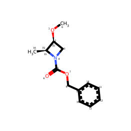 CO[C@H]1CN(C(=O)OCc2ccccc2)[C@H]1C